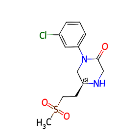 CS(=O)(=O)CC[C@H]1CN(c2cccc(Cl)c2)C(=O)CN1